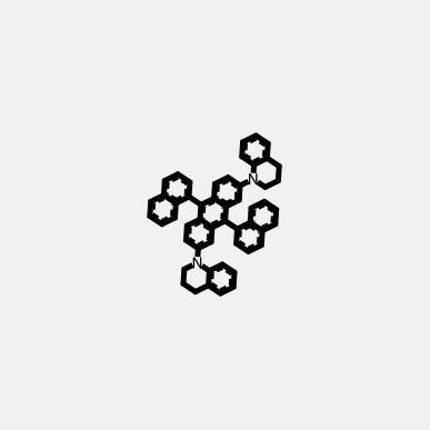 c1ccc2c(c1)CCCN2c1ccc2c(-c3cccc4ccccc34)c3ccc(N4CCCc5ccccc54)cc3c(-c3cccc4ccccc34)c2c1